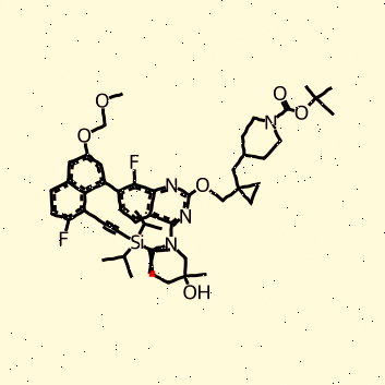 COCOc1cc(-c2ccc3c(N4CCCC(C)(O)C4)nc(OCC4(CC5CCN(C(=O)OC(C)(C)C)CC5)CC4)nc3c2F)c2c(C#C[Si](C(C)C)(C(C)C)C(C)C)c(F)ccc2c1